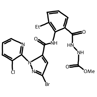 CCc1cccc(C(=O)NNC(=O)OC)c1NC(=O)c1cc(Br)nn1-c1ncccc1Cl